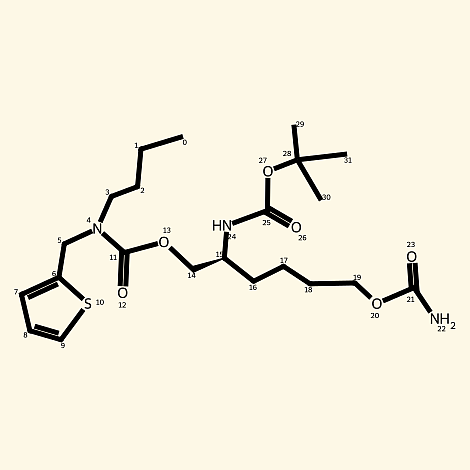 CCCCN(Cc1cccs1)C(=O)OC[C@H](CCCCOC(N)=O)NC(=O)OC(C)(C)C